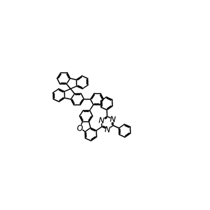 c1ccc(-c2nc(-c3ccccc3)nc(-c3cccc4oc5ccc(-c6ccccc6-c6ccc7c(c6)C6(c8ccccc8-c8ccccc86)c6ccccc6-7)cc5c34)n2)cc1